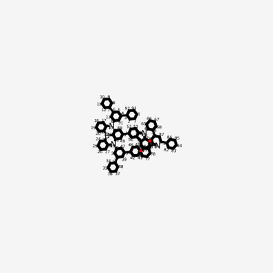 c1ccc(-c2cc(-c3ccccc3)cc(N3c4ccccc4B4c5ccccc5N(c5cc(-c6ccccc6)cc(-c6ccccc6)c5)c5cc(-c6ccc7c(c6)c6ccccc6n7-c6ccccc6-c6cc(-c7ccccc7)nc(-c7ccccc7)c6)cc3c54)c2)cc1